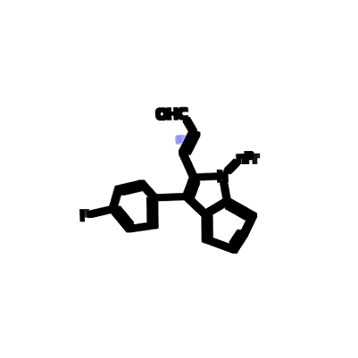 CCCn1c(/C=C/C=O)c(-c2ccc(F)cc2)c2ccccc21